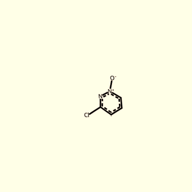 [O-][n+]1cc[c]c(Cl)n1